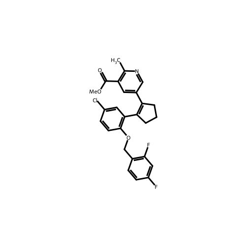 COC(=O)c1cc(C2=C(c3cc(Cl)ccc3OCc3ccc(F)cc3F)CCC2)cnc1C